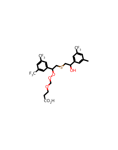 Cc1cc(C(O)CSCC(OOCOCCC(=O)O)c2cc(C(F)(F)F)cc(C(F)(F)F)c2)cc(C(F)(F)F)c1